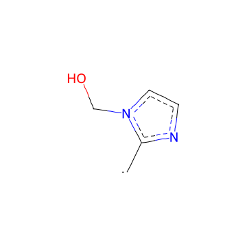 [CH2]c1nccn1CO